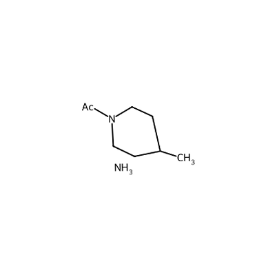 CC(=O)N1CCC(C)CC1.N